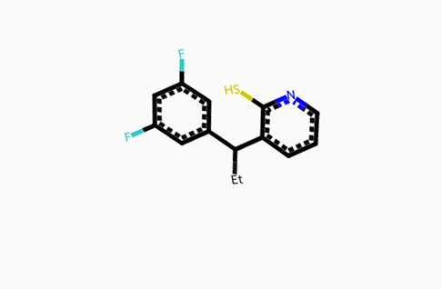 CCC(c1cc(F)cc(F)c1)c1cccnc1S